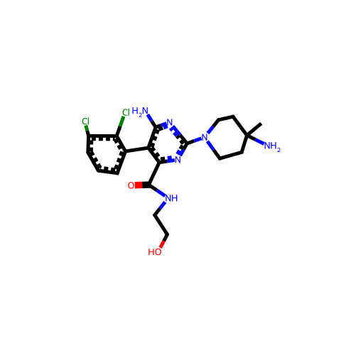 CC1(N)CCN(c2nc(N)c(-c3cccc(Cl)c3Cl)c(C(=O)NCCO)n2)CC1